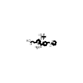 COC(c1ccc(CNc2ccccn2)cc1)c1cccc(CCC(=O)O)n1.O=C(O)C(F)(F)F